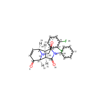 O=C1C=C[C@H]2[C@H]3C(=O)N(c4ccccc4)C(=O)[C@H]3[C@@H]1N2Cc1cccc(F)c1F